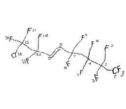 FC(F)(F)C(F)(F)C(F)(F)C(F)(F)C=CC(F)(F)C(F)(F)Cl